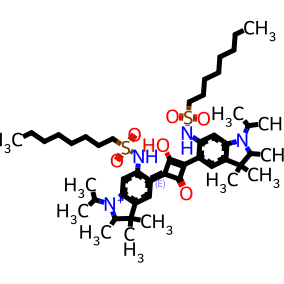 CCCCCCCCS(=O)(=O)Nc1cc2c(cc1C1=C(O)/C(=c3/cc4c(cc3NS(=O)(=O)CCCCCCCC)=[N+](C(C)C)C(C)C4(C)C)C1=O)C(C)(C)C(C)N2C(C)C